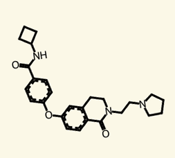 O=C(NC1CCC1)c1ccc(Oc2ccc3c(c2)CCN(CCN2CCCC2)C3=O)cc1